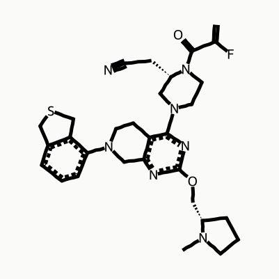 C=C(F)C(=O)N1CCN(c2nc(OC[C@@H]3CCCN3C)nc3c2CCN(c2cccc4c2CSC4)C3)C[C@@H]1CC#N